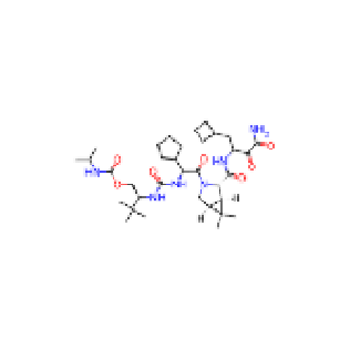 CC(C)NC(=O)OC[C@@H](NC(=O)N[C@H](C(=O)N1C[C@H]2[C@@H]([C@H]1C(=O)NC(CC1CCC1)C(=O)C(N)=O)C2(C)C)C1CCCC1)C(C)(C)C